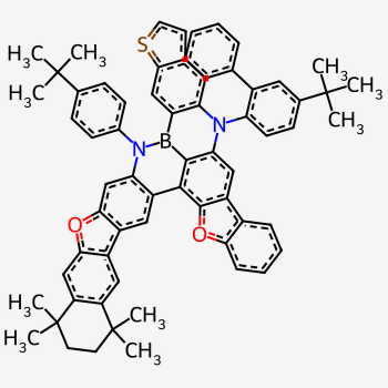 CC(C)(C)c1ccc(N2B3c4cc5sccc5cc4N(c4ccc(C(C)(C)C)cc4-c4ccccc4)c4cc5c(oc6ccccc65)c(c43)-c3cc4c(cc32)oc2cc3c(cc24)C(C)(C)CCC3(C)C)cc1